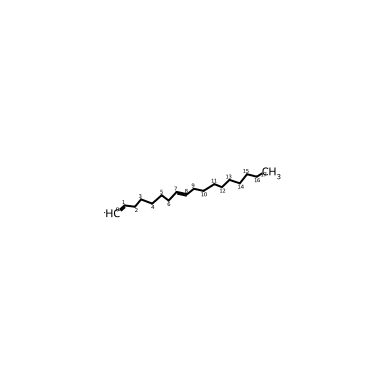 [CH]=CCCCCCC=CCCCCCCCCC